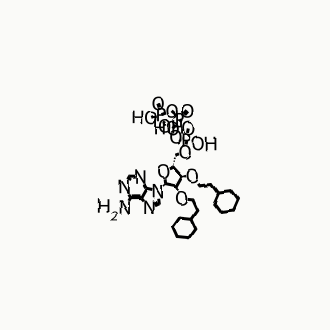 Nc1ncnc2c1ncn2[C@@H]1O[C@H](COP(=O)(O)OP(=O)(O)OP(=O)(O)O)[C@@H](OCCC2CCCCC2)[C@H]1OCCC1CCCCC1